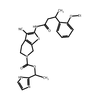 CCOc1ccccc1C(C)CC(=O)Nc1sc2c(c1C#N)CCN(C(=O)OC(C)c1ncc[nH]1)C2